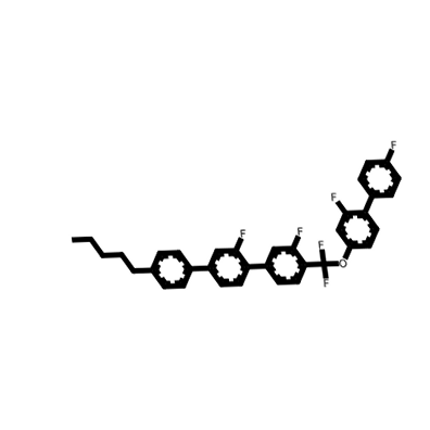 CCCCCc1ccc(-c2ccc(-c3ccc(C(F)(F)Oc4ccc(-c5ccc(F)cc5)c(F)c4)c(F)c3)c(F)c2)cc1